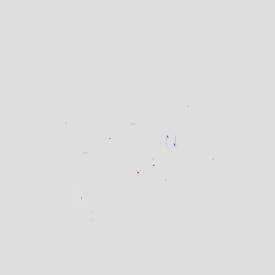 Cc1cc2c(c3c1oc1ccccc13)-c1ccc(N(c3ccc4c(c3)C(C)(C)c3ccccc3-4)c3ccccc3-c3ccccc3)cc1C21c2ccccc2-c2ccccc21